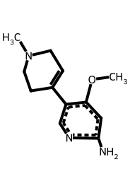 COc1cc(N)ncc1C1=CCN(C)CC1